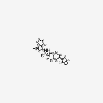 O=C(Nc1c[nH]c2ccccc12)N1CCc2cc(-c3ccoc3)ccc2C1